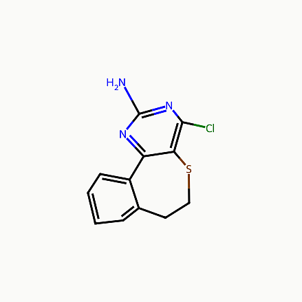 Nc1nc(Cl)c2c(n1)-c1ccccc1CCS2